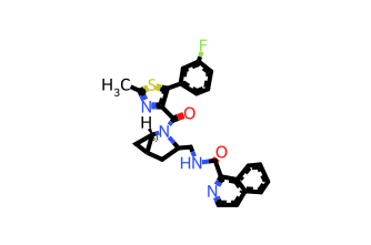 Cc1nc(C(=O)N2C(CNC(=O)c3nccc4ccccc34)CC3C[C@@H]32)c(-c2cccc(F)c2)s1